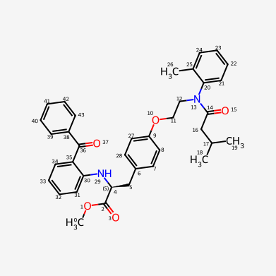 COC(=O)[C@H](Cc1ccc(OCCN(C(=O)CC(C)C)c2ccccc2C)cc1)Nc1ccccc1C(=O)c1ccccc1